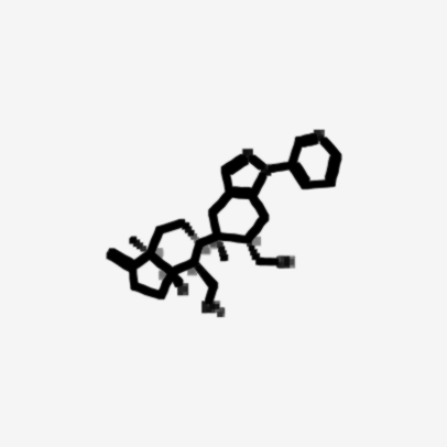 C=C1CC[C@H]2[C@H](CN)[C@@H]([C@@]3(C)Cc4cnn(-c5cccnc5)c4C[C@@H]3CO)CC[C@]12C